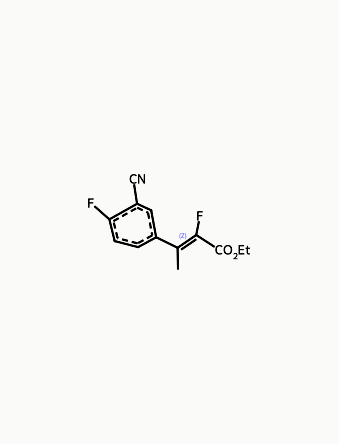 CCOC(=O)/C(F)=C(\C)c1ccc(F)c(C#N)c1